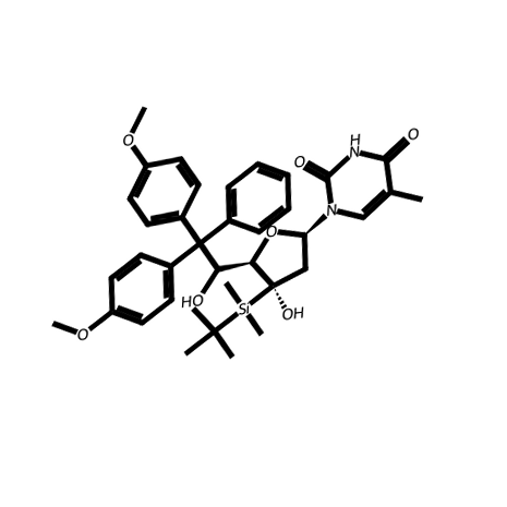 COc1ccc(C(c2ccccc2)(c2ccc(OC)cc2)C(O)[C@H]2O[C@@H](n3cc(C)c(=O)[nH]c3=O)C[C@@]2(O)[Si](C)(C)C(C)(C)C)cc1